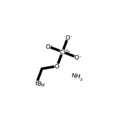 CC(C)(C)CO[Cl+3]([O-])([O-])[O-].N